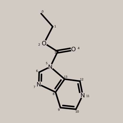 CCOC(=O)n1cnc2ccncc21